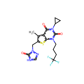 Cc1c(Cn2nc[nH]c2=O)sc2c1c(=O)n(C1CC1)c(=O)n2CCCC(F)(F)F